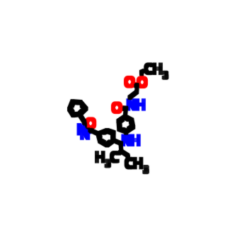 CCOC(=O)CCNC(=O)c1ccc(NC(c2ccc(-c3nnc(-c4ccccc4)o3)cc2)C(C)CC)cc1